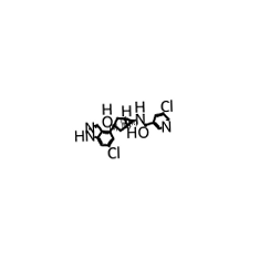 O=C(N[C@H]1[C@@H]2C[C@](O)(c3cc(Cl)cc4[nH]ncc34)C[C@@H]21)c1cncc(Cl)c1